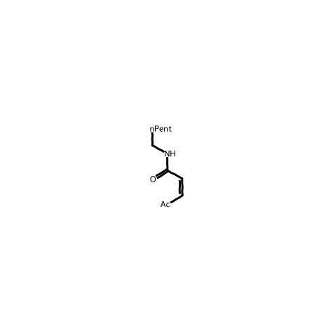 CCCCCCNC(=O)/C=C\C(C)=O